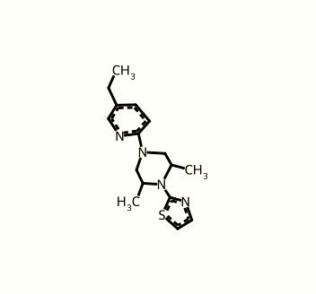 CCc1ccc(N2CC(C)N(c3nccs3)C(C)C2)nc1